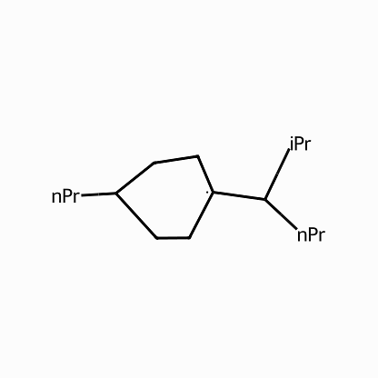 [CH2]CCC([C]1CCC(CCC)CC1)C(C)C